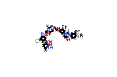 CCc1cc(N2C(=S)N(c3ccc(C#N)c(C(F)(F)F)c3)C(=O)C2(C)C)ccc1OCCN1C[C@H](C)N(CC(=O)Nc2cc(Cl)cc(NC3CCC(=O)NC3=O)c2)[C@@H](C)C1